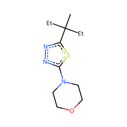 CCC(C)(CC)c1nnc(N2CCOCC2)s1